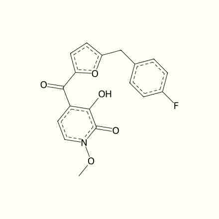 COn1ccc(C(=O)c2ccc(Cc3ccc(F)cc3)o2)c(O)c1=O